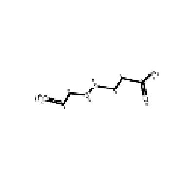 C=CCSSCCC(=O)C(C)C